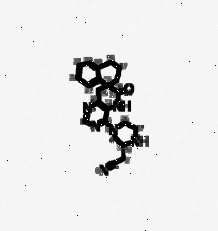 N#CC[C@H]1CN(c2ncnc3c2NC(=O)C2(CCCc4ccccc42)C3)CCN1